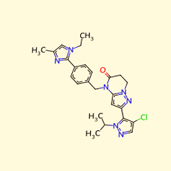 CCn1cc(C)nc1-c1ccc(CN2C(=O)CCn3nc(-c4c(Cl)cnn4C(C)C)cc32)cc1